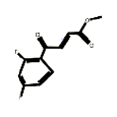 COC(=O)/C=C/C(=O)c1ccc(F)cc1F